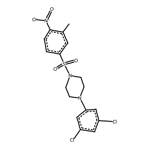 Cc1cc(S(=O)(=O)N2CCN(c3cc(Cl)cc(Cl)c3)CC2)ccc1[N+](=O)[O-]